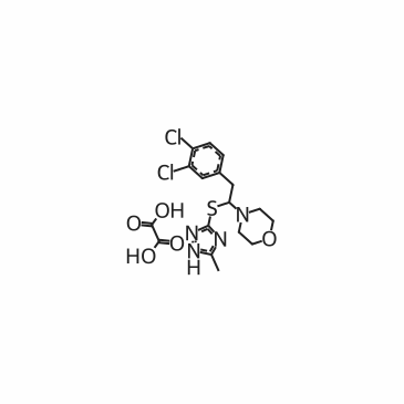 Cc1nc(SC(Cc2ccc(Cl)c(Cl)c2)N2CCOCC2)n[nH]1.O=C(O)C(=O)O